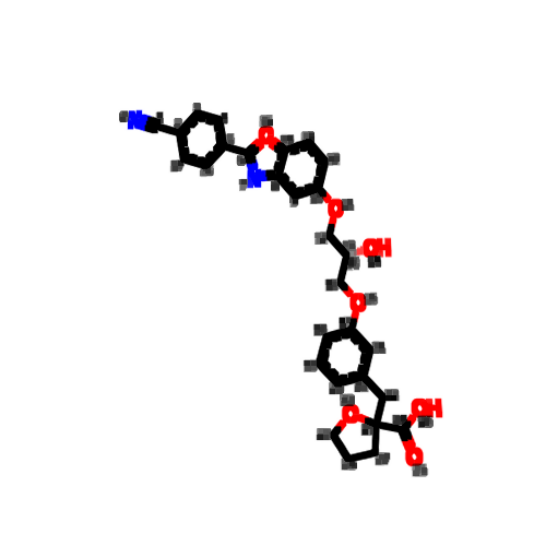 N#Cc1ccc(-c2nc3cc(OC[C@H](O)COc4cccc(CC5(C(=O)O)CCCO5)c4)ccc3o2)cc1